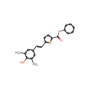 Cc1cc(/C=C/c2ccc(C(=O)Sc3ccccc3)s2)cc(C)c1O